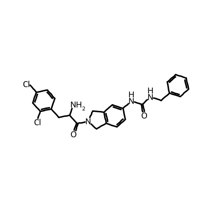 NC(Cc1ccc(Cl)cc1Cl)C(=O)N1Cc2ccc(NC(=O)NCc3ccccc3)cc2C1